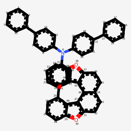 c1ccc(-c2ccc(N(c3ccc(-c4ccccc4)cc3)c3ccc(-c4cccc5oc6ccc7ccc8oc9ccccc9c8c7c6c45)cc3)cc2)cc1